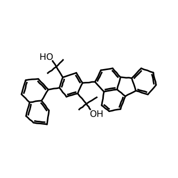 CC(C)(O)c1cc(-c2ccc3c4c(cccc24)-c2ccccc2-3)c(C(C)(C)O)cc1-c1cccc2ccccc12